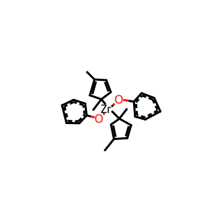 CC1=C[C](C)([Zr]([O]c2ccccc2)([O]c2ccccc2)[C]2(C)C=CC(C)=C2)C=C1